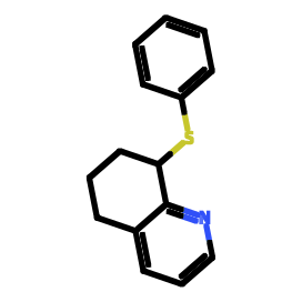 c1ccc(SC2CCCc3cccnc32)cc1